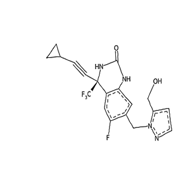 O=C1Nc2cc(Cn3nccc3CO)c(F)cc2[C@@](C#CC2CC2)(C(F)(F)F)N1